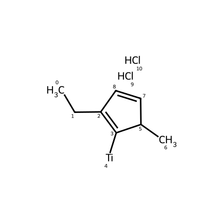 CCC1=[C]([Ti])C(C)C=C1.Cl.Cl